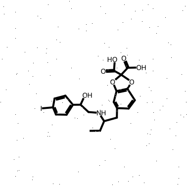 CCC(Cc1ccc2c(c1)OC(C(=O)O)(C(=O)O)O2)NCC(O)c1ccc(I)cc1